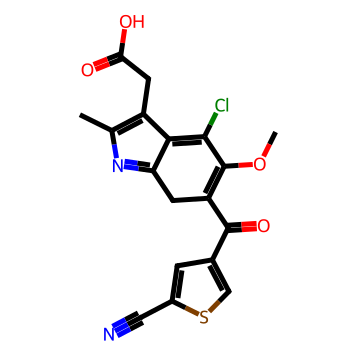 COC1=C(C(=O)c2csc(C#N)c2)CC2=NC(C)=C(CC(=O)O)C2=C1Cl